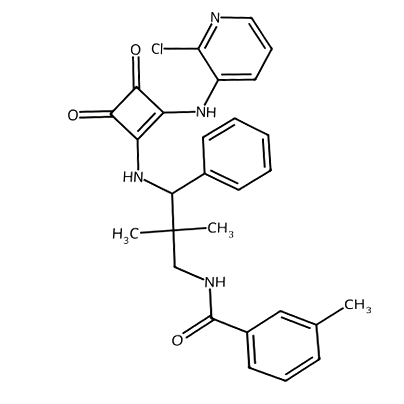 Cc1cccc(C(=O)NCC(C)(C)C(Nc2c(Nc3cccnc3Cl)c(=O)c2=O)c2ccccc2)c1